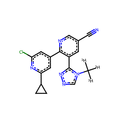 [2H]C([2H])([2H])n1cnnc1-c1cc(C#N)cnc1-c1cc(Cl)nc(C2CC2)c1